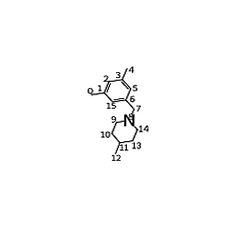 Cc1cc(C)cc(CN2CCC(C)CC2)c1